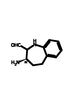 N[C@H]1CCc2ccccc2NC1C=O